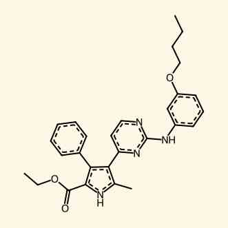 CCCCOc1cccc(Nc2nccc(-c3c(C)[nH]c(C(=O)OCC)c3-c3ccccc3)n2)c1